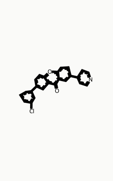 O=c1c2cc(-c3ccncc3)ccc2oc2ccc(-c3cccc(Cl)c3)cc12